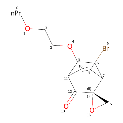 CCCOCCOC1CC2C(Br)=CC1C(=O)[C@]21CO1